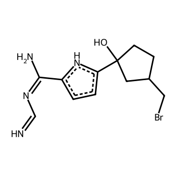 N=C/N=C(/N)c1ccc(C2(O)CCC(CBr)C2)[nH]1